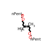 CCCCCOCOCCC[CH](C)[Cu][CH](C)CCCOCOCCCCC.[Li]